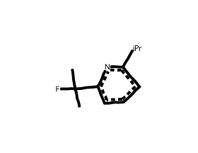 CC(C)c1cccc(C(C)(C)F)n1